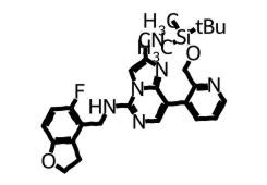 CC(C)(C)[Si](C)(C)OCc1ncccc1-c1cnc(NCc2c(F)ccc3c2CCO3)n2cc(C#N)nc12